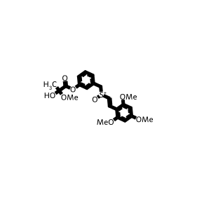 COc1cc(OC)c(C=C[S+]([O-])Cc2cccc(OC(=O)C(C)(O)OC)c2)c(OC)c1